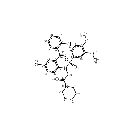 COc1ccc(S(=O)(=O)N(CC(=O)N2CCOCC2)c2ccc(Cl)cc2C(=O)c2ccccc2Cl)cc1OC